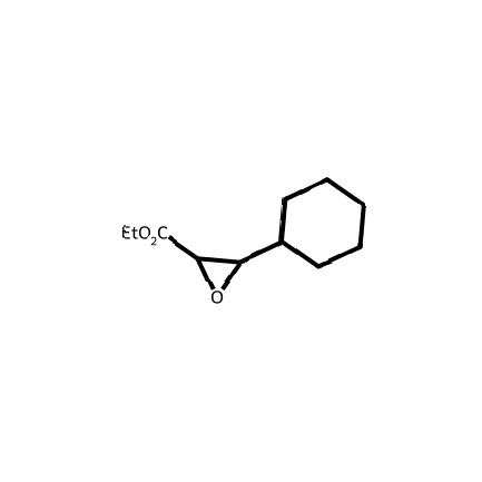 CCOC(=O)C1OC1C1CCCCC1